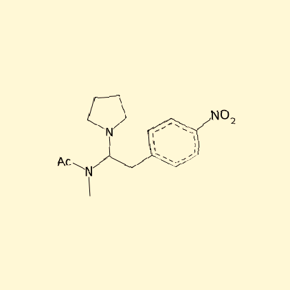 CC(=O)N(C)C(Cc1ccc([N+](=O)[O-])cc1)N1CCCC1